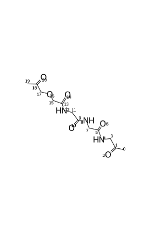 CC(=O)CNC(=O)CNC(=O)CNC(=O)COCC(C)=O